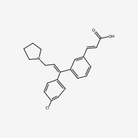 O=C(O)C=Cc1cccc(C(=CCN2CCCC2)c2ccc(Cl)cc2)c1